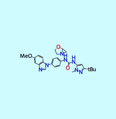 C1CN2CC2O1.COc1ccc2c(c1)ncn2-c1ccc(NC(=O)Nc2cc(C(C)(C)C)nn2C)cc1